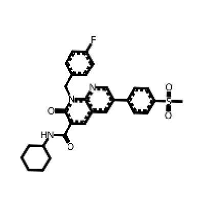 CS(=O)(=O)c1ccc(-c2cnc3c(c2)cc(C(=O)NC2CCCCC2)c(=O)n3Cc2ccc(F)cc2)cc1